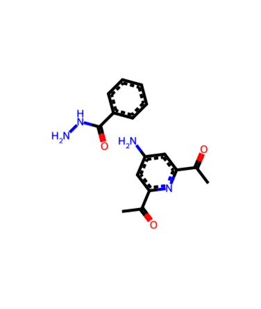 CC(=O)c1cc(N)cc(C(C)=O)n1.NNC(=O)c1ccccc1